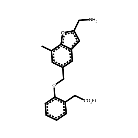 CCOC(=O)Cc1ccccc1OCc1cc(I)c2oc(CN)cc2c1